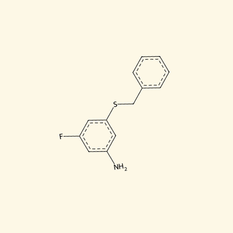 Nc1cc(F)cc(SCc2ccccc2)c1